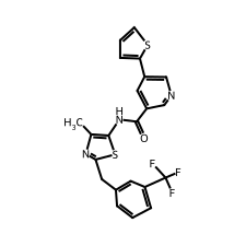 Cc1nc(Cc2cccc(C(F)(F)F)c2)sc1NC(=O)c1cncc(-c2cccs2)c1